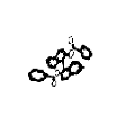 O=C(Oc1ccc2ccccc2c1-c1c(OC(=O)c2ccccc2)ccc2ccccc12)c1ccccc1